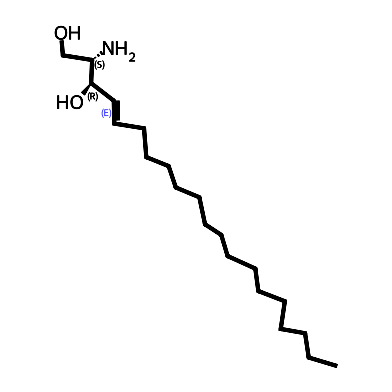 CCCCCCCCCCCCCCC/C=C/[C@@H](O)[C@@H](N)CO